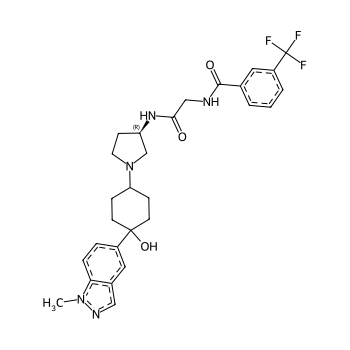 Cn1ncc2cc(C3(O)CCC(N4CC[C@@H](NC(=O)CNC(=O)c5cccc(C(F)(F)F)c5)C4)CC3)ccc21